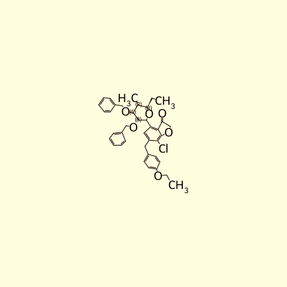 CCOc1ccc(Cc2cc(C3O[C@H](CC)[C@@H](C)[C@H](OCc4ccccc4)[C@H]3OCc3ccccc3)c3c(c2Cl)OCC3=O)cc1